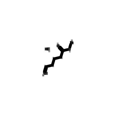 CCOC(=O)CCCC=N.Cl